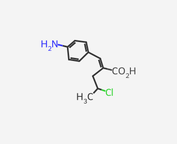 CC(Cl)CC(=Cc1ccc(N)cc1)C(=O)O